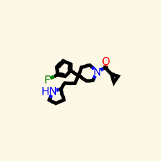 O=C(C1CC1)N1CCC(CCC2CCCN2)(c2cccc(F)c2)CC1